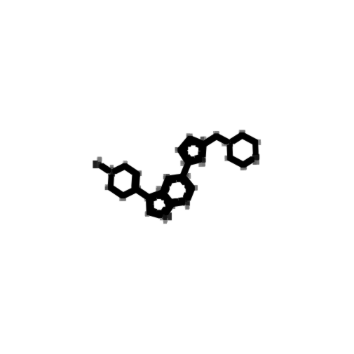 CCN1CC=C(c2c[nH]c3ncc(-c4ccc(CN5CCOCC5)s4)cc23)CC1